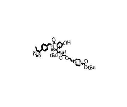 Cc1ncsc1-c1ccc(CNC(=O)[C@@H]2C[C@@H](O)CN2C(=O)[C@@H](NC(=O)COCCN2CCN(C(=O)OC(C)(C)C)CC2)C(C)(C)C)cc1